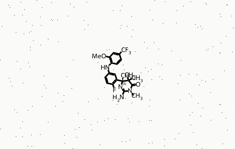 COc1cc(C(F)(F)F)ccc1Nc1ccc(F)c([C@@]2(C)N=C(N)N(C)C(=O)C2(C)C)c1